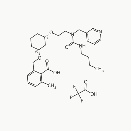 CCCCNC(=O)N(CCO[C@H]1CCC[C@@H](OCc2cccc(C)c2C(=O)O)C1)Cc1cccnc1.O=C(O)C(F)(F)F